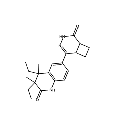 CCC1(C)C(=O)Nc2ccc(C3=NNC(=O)C4CCC34)cc2C1(C)CC